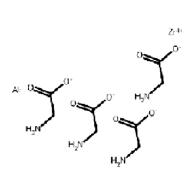 NCC(=O)[O-].NCC(=O)[O-].NCC(=O)[O-].NCC(=O)[O-].[Al].[Zr+4]